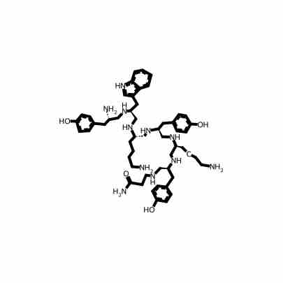 NCCCC[C@@H](CN[C@H](CNCCC(N)=O)Cc1ccc(O)cc1)NC[C@H](Cc1ccc(O)cc1)NC[C@H](CCCCN)NC[C@H](Cc1c[nH]c2ccccc12)NC[C@@H](N)Cc1ccc(O)cc1